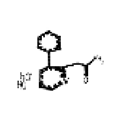 Cl.Cl.NC(=O)Cc1ncccc1-c1ccccc1